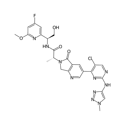 COc1cc(F)cc([C@@H](CO)NC(=O)[C@@H](C)N2Cc3ncc(-c4nc(Nc5cn(C)nn5)ncc4Cl)cc3C2=O)n1